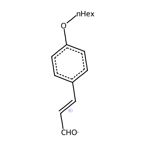 CCCCCCOc1ccc(/C=C/[C]=O)cc1